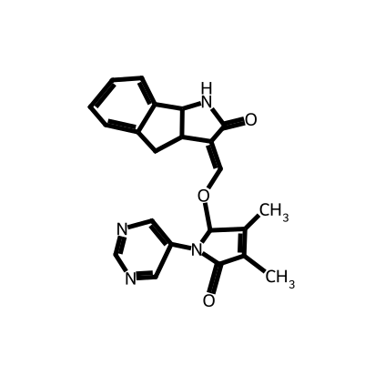 CC1=C(C)C(OC=C2C(=O)NC3c4ccccc4CC23)N(c2cncnc2)C1=O